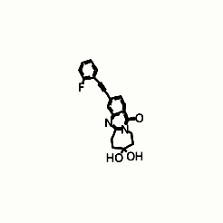 O=c1c2ccc(C#Cc3ccccc3F)cc2nc2n1CCC(O)(O)CC2